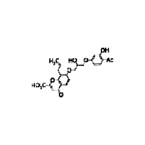 C=CCc1c(OCC(O)COc2ccc(C(C)=O)c(O)c2)ccc2c(=O)cc(C(=O)O)oc12